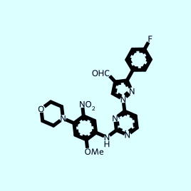 COc1cc(N2CCOCC2)c([N+](=O)[O-])cc1Nc1nccc(-n2cc(C=O)c(-c3ccc(F)cc3)n2)n1